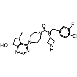 C[C@@H]1C[C@@H](O)c2ncnc(N3CCN(C(=O)N(Cc4ccc(Cl)c(F)c4)C4CNC4)CC3)c21